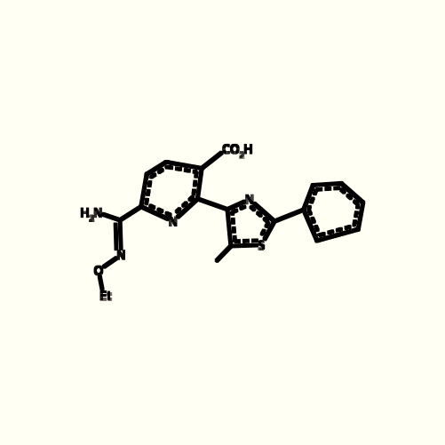 CCON=C(N)c1ccc(C(=O)O)c(-c2nc(-c3ccccc3)sc2C)n1